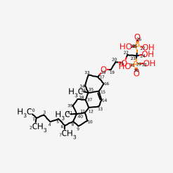 CC(C)CCCC(C)C1CCC2C3CC=C4CC(OCCOCC(O)(P(=O)(O)O)P(=O)(O)O)CCC4(C)C3CCC12C